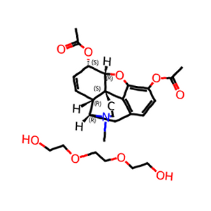 CC(=O)Oc1ccc2c3c1O[C@H]1[C@@H](OC(C)=O)C=C[C@H]4[C@@H](C2)N(C)CC[C@@]341.OCCOCCOCCO